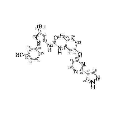 CC(C)(C)c1cc(NC(=O)Nc2cc(Oc3ccnc(-c4cn[nH]c4)n3)ccc2F)n(-c2cccc(C#N)c2)n1